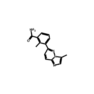 Cc1c(C(N)=O)cccc1-c1ccc2ncc(C)n2n1